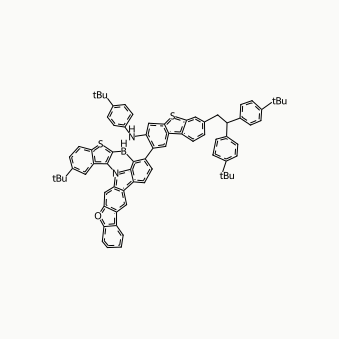 CC(C)(C)c1ccc(Nc2cc3sc4cc(CC(c5ccc(C(C)(C)C)cc5)c5ccc(C(C)(C)C)cc5)ccc4c3cc2-c2ccc3c4cc5c(cc4n4c3c2Bc2sc3ccc(C(C)(C)C)cc3c2-4)oc2ccccc25)cc1